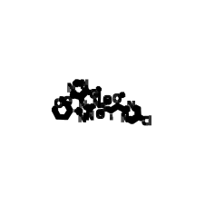 COc1ncnc(OC)c1-n1c(NS(=O)(=O)[C@@H](C)[C@H](OC)c2ncc(Cl)cn2)nnc1[C@@H]1CCCOC1